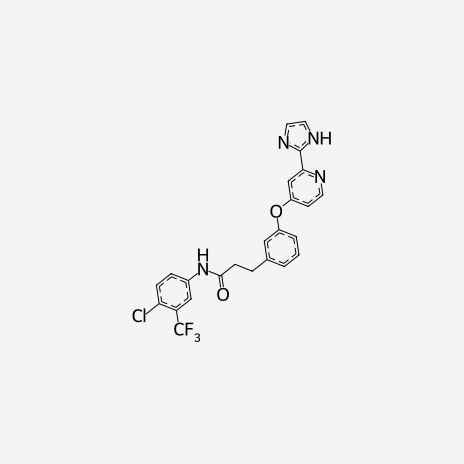 O=C(CCc1cccc(Oc2ccnc(-c3ncc[nH]3)c2)c1)Nc1ccc(Cl)c(C(F)(F)F)c1